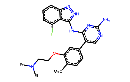 CCN(CC)CCOc1cc(-c2cnc(N)nc2Nc2[nH]nc3cccc(F)c23)ccc1OC